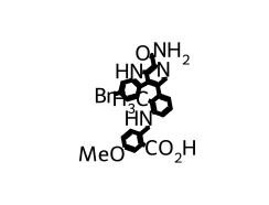 COc1ccc(CNc2cccc(-c3cnc(C(N)=O)c4[nH]c5cc(Br)ccc5c34)c2C)c(C(=O)O)c1